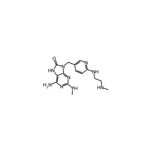 CNCCNc1ccc(Cn2c(=O)[nH]c3c(N)nc(PC)nc32)cn1